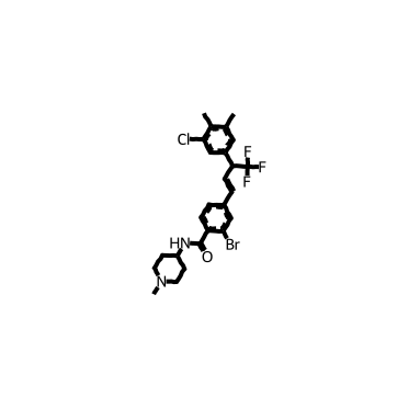 Cc1cc(C(/C=C/c2ccc(C(=O)NC3CCN(C)CC3)c(Br)c2)C(F)(F)F)cc(Cl)c1C